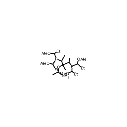 CCC(OC)P(C(CC)OC)C(C)C(C)(OC(C)N)C(C)P(C(CC)OC)C(CC)OC